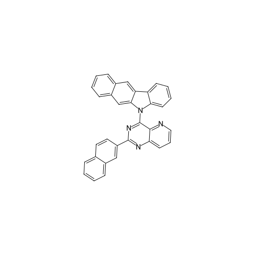 c1ccc2cc(-c3nc(-n4c5ccccc5c5cc6ccccc6cc54)c4ncccc4n3)ccc2c1